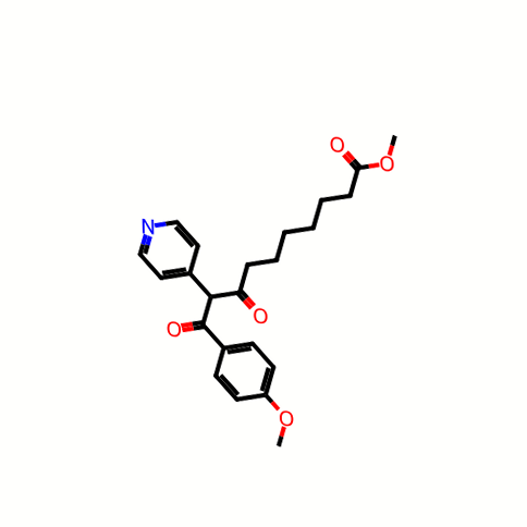 COC(=O)CCCCCCC(=O)C(C(=O)c1ccc(OC)cc1)c1ccncc1